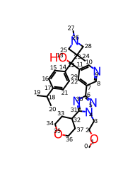 COCCn1nc(-c2cncc(C(O)(c3ccc(C(C)C)cc3)C3(C)CN(C)C3)c2)nc1C1CCOCC1